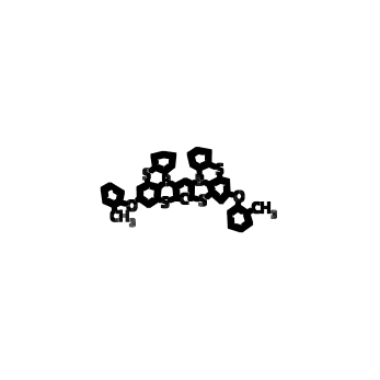 Cc1ccccc1Oc1cc2c3c(c1)Sc1cc4c(cc1B3c1ccccc1S2)B1c2ccccc2Sc2cc(Oc3ccccc3C)cc(c21)S4